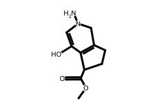 COC(=O)C1CCC2=C1C(O)=CN(N)C2